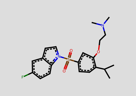 CC(C)c1ccc(S(=O)(=O)n2ccc3cc(F)ccc32)cc1OCCN(C)C